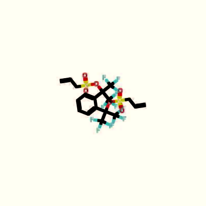 C=CCS(=O)(=O)OC(c1ccccc1C(OS(=O)(=O)CC=C)(C(F)(F)F)C(F)(F)F)(C(F)(F)F)C(F)(F)F